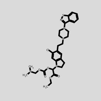 CCOC(=O)C(OC(=O)OCN(C)C)N1CCc2cc(CCN3CCN(c4nsc5ccccc45)CC3)c(Cl)cc21